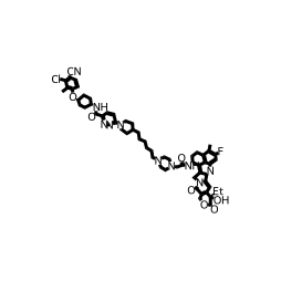 CC[C@@]1(O)C(=O)OCc2c1cc1n(c2=O)Cc2c-1nc1cc(F)c(C)c3c1c2C(NC(=O)CN1CCN(CCCCCCC2CCN(c4ccc(C(=O)N[C@H]5CC[C@H](Oc6ccc(C#N)c(Cl)c6C)CC5)nn4)CC2)CC1)CC3